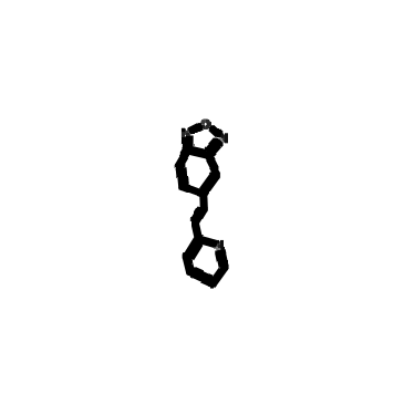 C(=Cc1ccccn1)c1ccc2nonc2c1